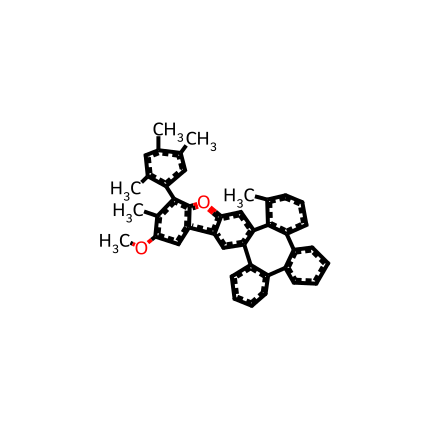 COc1cc2c(oc3cc4c(cc32)-c2ccccc2-c2ccccc2-c2cccc(C)c2-4)c(-c2cc(C)c(C)cc2C)c1C